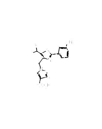 Cc1cccc(-c2nc(Cn3cc(C(=O)O)cn3)c(C(F)F)s2)c1